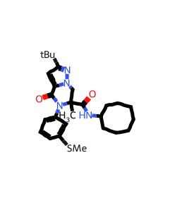 CSc1cccc(N2C(=O)c3cc(C(C)(C)C)nn3CC2(C)C(=O)NC2CCCCCCC2)c1